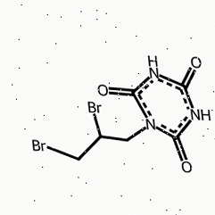 O=c1[nH]c(=O)n(CC(Br)CBr)c(=O)[nH]1